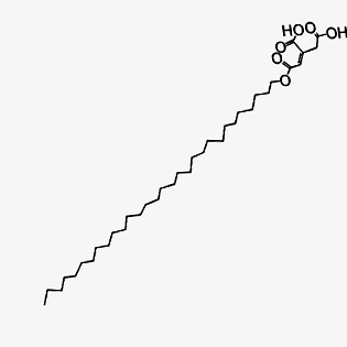 CCCCCCCCCCCCCCCCCCCCCCCCCCCCCCOC(=O)C=C(CC(=O)O)C(=O)O